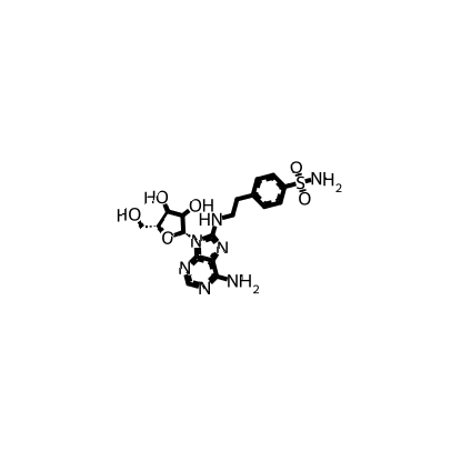 Nc1ncnc2c1nc(NCCc1ccc(S(N)(=O)=O)cc1)n2[C@@H]1O[C@H](CO)C(O)C1O